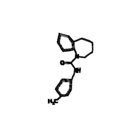 Cc1ccc(NC(=O)N2CCCCc3ccccc32)cc1